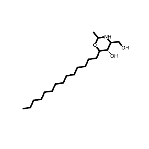 CCCCCCCCCCCCCCC1OC(C)NC(CO)[C@@H]1O